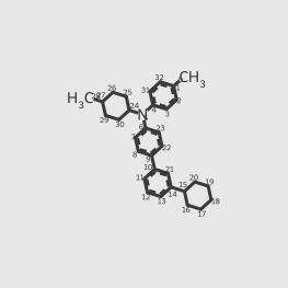 Cc1ccc(N(c2ccc(-c3cccc(C4CCCCC4)c3)cc2)C2CCC(C)CC2)cc1